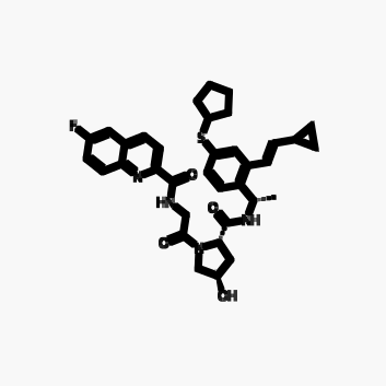 C[C@H](NC(=O)[C@@H]1C[C@@H](O)CN1C(=O)CNC(=O)c1ccc2cc(F)ccc2n1)c1ccc(SC2CCCC2)cc1/C=C/C1CC1